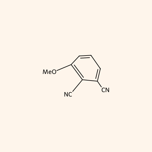 COc1cccc(C#N)c1C#N